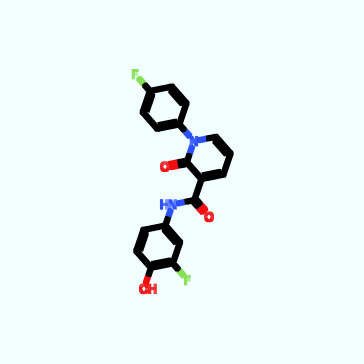 O=C(Nc1ccc(O)c(F)c1)c1cccn(-c2ccc(F)cc2)c1=O